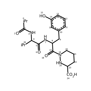 CC(C)C(=O)NC(C(=O)NC(Cc1cccc(O)c1)C(=O)N1CCCC(C(=O)O)N1)C(C)C